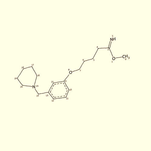 COC(=N)CCCCOc1cccc(CN2CCCCC2)c1